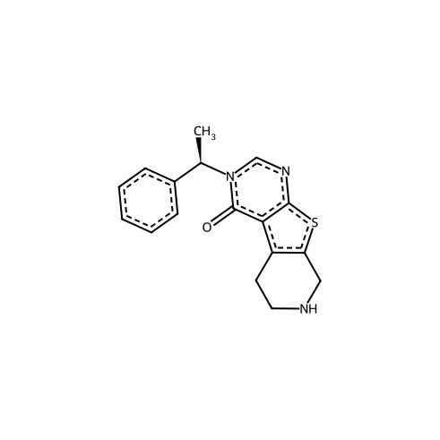 C[C@H](c1ccccc1)n1cnc2sc3c(c2c1=O)CCNC3